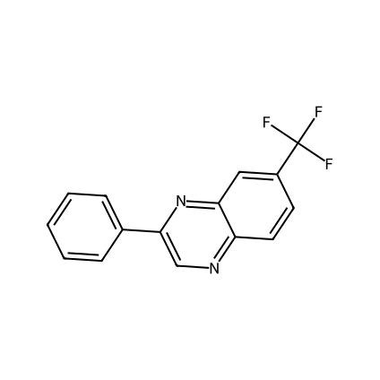 FC(F)(F)c1ccc2ncc(-c3ccccc3)nc2c1